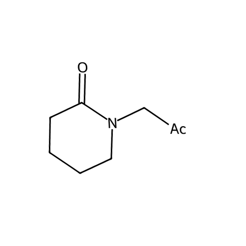 CC(=O)CN1CCCCC1=O